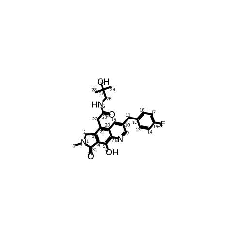 CN1Cc2c(c(O)c3ncc(Cc4ccc(F)cc4)cc3c2CC(=O)NCC(C)(C)O)C1=O